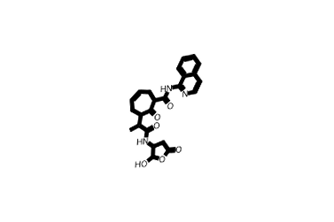 CC(C(=O)NC1CC(=O)OC1O)C1CC=CCC(C(=O)Nc2nccc3ccccc23)C1=O